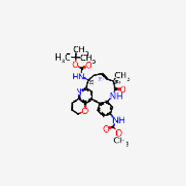 COC(=O)Nc1ccc2c(c1)NC(=O)[C@H](C)/C=C/C[C@H](NC(=O)OC(C)(C)C)c1cc-2c2c(n1)CCCO2